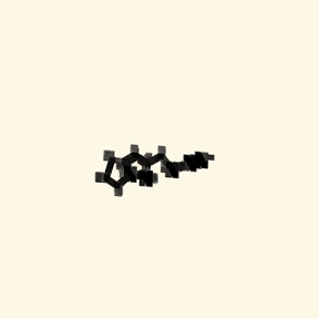 [N-]=[N+]=NCc1cc2n(n1)CCC2